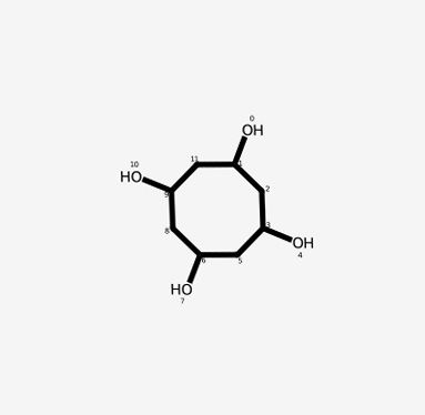 OC1CC(O)CC(O)CC(O)C1